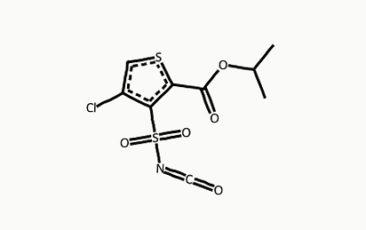 CC(C)OC(=O)c1scc(Cl)c1S(=O)(=O)N=C=O